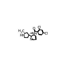 C[C@@H]1C[C@@](CNC(=O)c2ccc(Cl)cc2Cl)(C2CC=CC=N2)CCN1